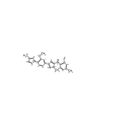 COc1cc(-c2nc(Nc3ccc(C)cc3F)n(C)n2)ccc1-n1cnc(C)c1